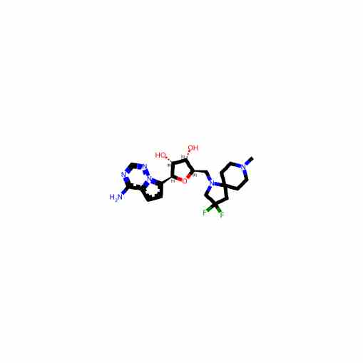 CN1CCC2(CC1)CC(F)(F)CN2C[C@H]1O[C@@H](c2ccc3c(N)ncnn23)[C@H](O)[C@@H]1O